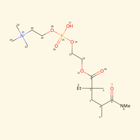 CCC(C)(CC(C)C(=O)NC)C(=O)OCCOP(=O)(O)OCC[N+](C)(C)C